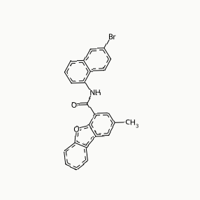 Cc1cc(C(=O)Nc2cccc3cc(Br)ccc23)c2oc3ccccc3c2c1